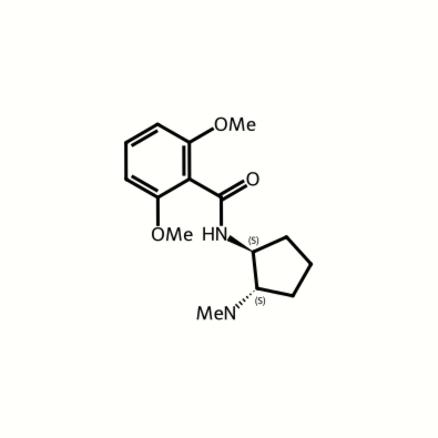 CN[C@H]1CCC[C@@H]1NC(=O)c1c(OC)cccc1OC